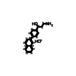 Cl.NCCC(O)c1ccc(-c2ccc3ccccc3c2)cc1